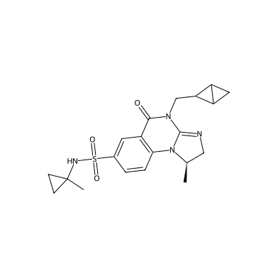 C[C@@H]1CN=C2N(CC3C4CC43)C(=O)c3cc(S(=O)(=O)NC4(C)CC4)ccc3N21